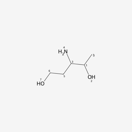 [CH2]C(O)C(N)CCO